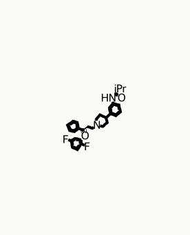 CC(C)C(=O)Nc1cccc(C2CCN(CC[C@@H](Oc3cc(F)ccc3F)c3ccccc3)CC2)c1